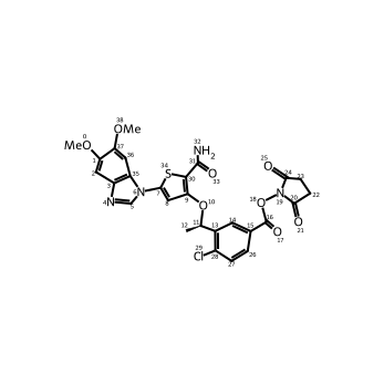 COc1cc2ncn(-c3cc(O[C@H](C)c4cc(C(=O)ON5C(=O)CCC5=O)ccc4Cl)c(C(N)=O)s3)c2cc1OC